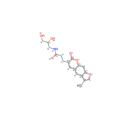 Cc1coc2cc3oc(=O)c(CCC(=O)NCC(O)CO)cc3cc12